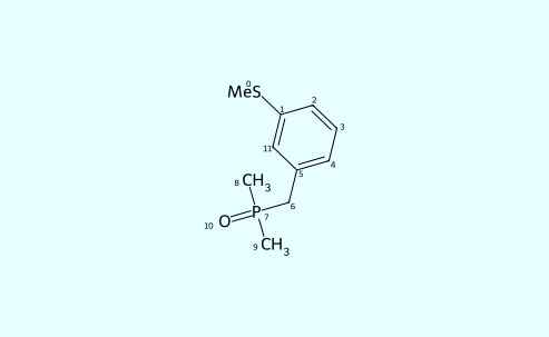 CSc1cccc(CP(C)(C)=O)c1